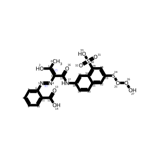 C/C(O)=C(/N=N/c1ccccc1C(=O)O)C(=O)Nc1ccc2cc(SOOO)cc(S(=O)(=O)O)c2c1